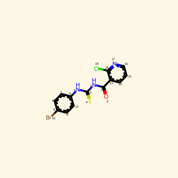 O=C(NC(=S)Nc1ccc(Br)cc1)c1cccnc1Cl